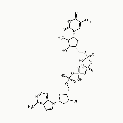 Cc1cn([C@@H]2O[C@H](COP(=O)(O)OP(=O)(O)OP(=O)(O)OP(=O)(O)OC[C@H]3O[C@@H](n4cnc5c(N)ncnc54)CC3O)C(O)C2C)c(=O)[nH]c1=O